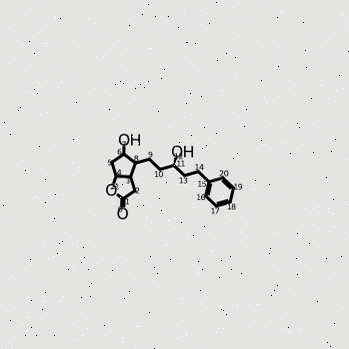 O=C1CC2C(CC(O)C2CC[C@@H](O)CCc2ccccc2)O1